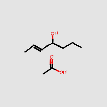 CC(=O)O.CC=CC(O)CCC